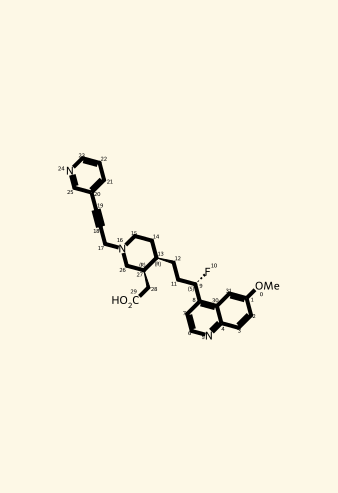 COc1ccc2nccc([C@@H](F)CC[C@@H]3CCN(CC#Cc4cccnc4)C[C@@H]3CC(=O)O)c2c1